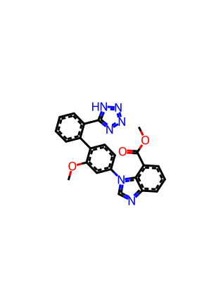 COC(=O)c1cccc2ncn(-c3ccc(-c4ccccc4-c4nnn[nH]4)c(OC)c3)c12